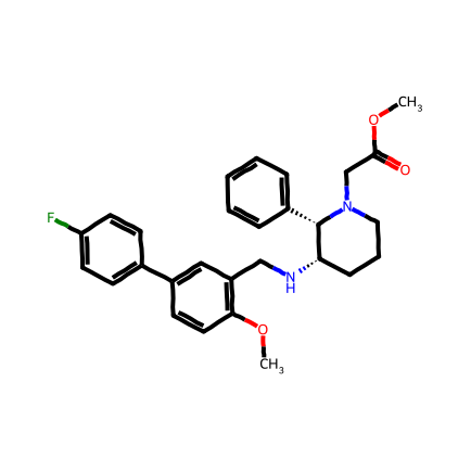 COC(=O)CN1CCC[C@H](NCc2cc(-c3ccc(F)cc3)ccc2OC)[C@@H]1c1ccccc1